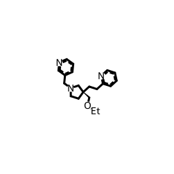 CCOC[C@@]1(CCc2ccccn2)CCN(Cc2cccnc2)C1